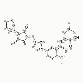 COc1ccc(-c2ccc(/C=C3\SC(=S)N(C4CC5CCC4C5)C3=O)o2)cc1C(=O)N[C@@H](CC(C)C)C(=O)O